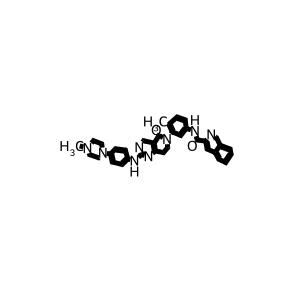 Cc1ccc(NC(=O)c2cc3ccccc3cn2)cc1N1CCc2nc(Nc3ccc(N4CCN(C)CC4)cc3)ncc2C1=O